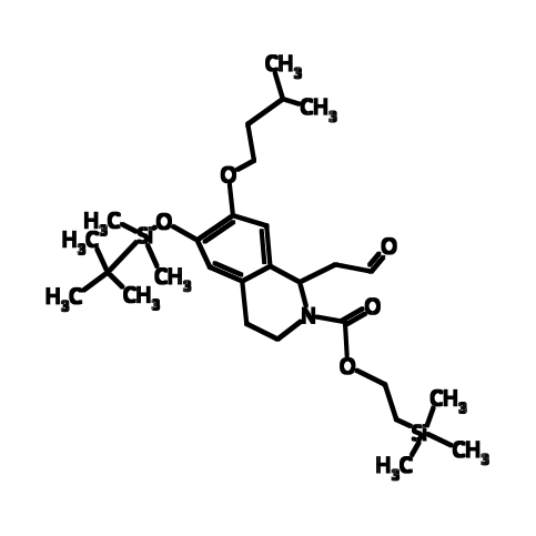 CC(C)CCOc1cc2c(cc1O[Si](C)(C)C(C)(C)C)CCN(C(=O)OCC[Si](C)(C)C)C2CC=O